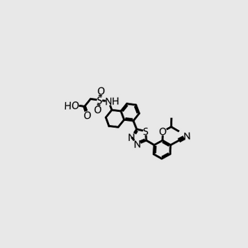 CC(C)Oc1c(C#N)cccc1-c1nnc(-c2cccc3c2CCCC3NS(=O)(=O)CC(=O)O)s1